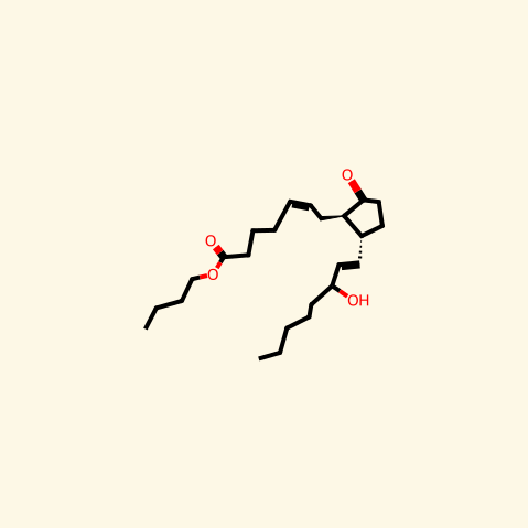 CCCCCC(O)/C=C/[C@H]1CCC(=O)[C@@H]1C/C=C\CCCC(=O)OCCCC